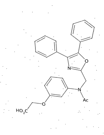 CC(=O)N(Cc1nc(-c2ccccc2)c(-c2ccccc2)o1)c1cccc(OCC(=O)O)c1